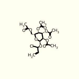 C=CC(Cl)O[C@H]1O[C@H](COC(C)=O)[C@H](OC(C)=O)[C@H](OC(C)=O)[C@H]1OC(C)=O